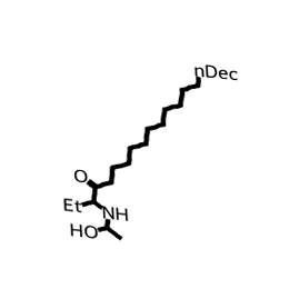 CCCCCCCCCCCCCCCCCCCCCC(=O)C(CC)NC(C)O